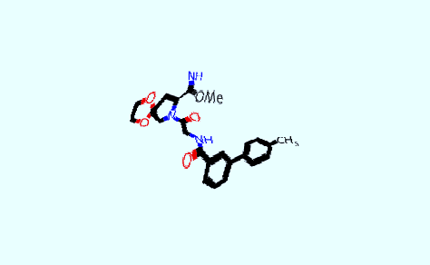 COC(=N)[C@@H]1CC2(CN1C(=O)CNC(=O)c1cccc(-c3ccc(C)cc3)c1)OCCO2